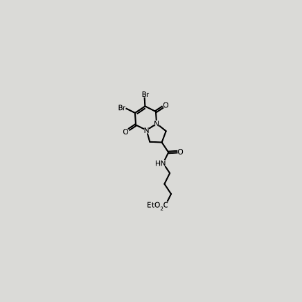 CCOC(=O)CCCNC(=O)C1Cn2c(=O)c(Br)c(Br)c(=O)n2C1